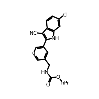 CCCOC(=O)NCc1cncc(-c2[nH]c3cc(Cl)ccc3c2C#N)c1